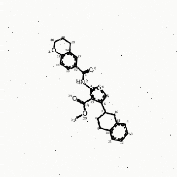 O=C(Nc1scc(C2CCc3ccccc3C2)c1C(=O)OI)c1ccc2c(c1)CCCO2